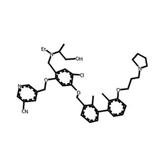 CCN(Cc1cc(Cl)c(OCc2cccc(-c3cccc(OCCCN4CCCC4)c3C)c2C)cc1OCc1cncc(C#N)c1)C(C)CO